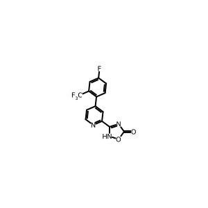 O=c1nc(-c2cc(-c3ccc(F)cc3C(F)(F)F)ccn2)[nH]o1